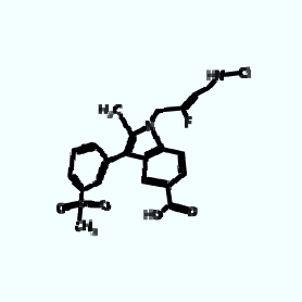 Cc1c(-c2cccc(S(C)(=O)=O)c2)c2cc(C(=O)O)ccc2n1C/C(F)=C/CNCl